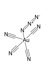 N#[C][Au]([C]#N)([C]#N)([C]#N)[N]=[N+]=[N-]